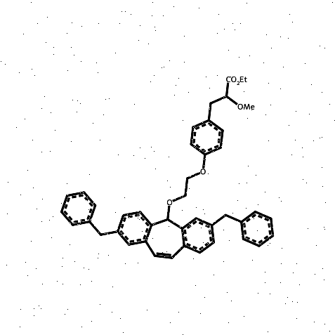 CCOC(=O)C(Cc1ccc(OCCOC2c3ccc(Cc4ccccc4)cc3C=Cc3ccc(Cc4ccccc4)cc32)cc1)OC